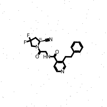 N#C[C@@H]1CC(F)(F)CN1C(=O)CNC(=O)c1ccncc1CCc1ccccc1